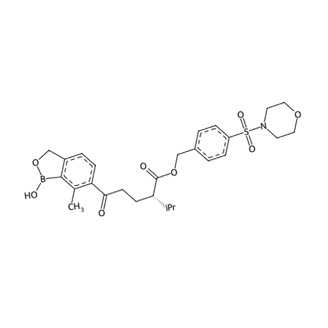 Cc1c(C(=O)CC[C@H](C(=O)OCc2ccc(S(=O)(=O)N3CCOCC3)cc2)C(C)C)ccc2c1B(O)OC2